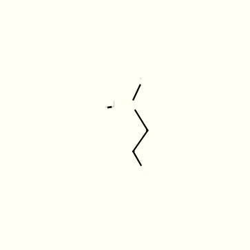 CCC[CH2][GeH]([Cl])[Cl]